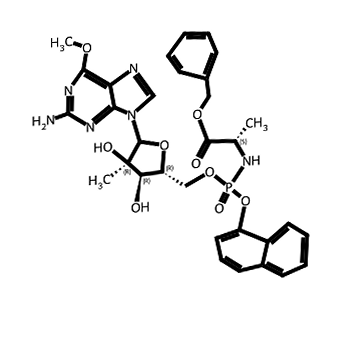 COc1nc(N)nc2c1ncn2C1O[C@H](COP(=O)(N[C@@H](C)C(=O)OCc2ccccc2)Oc2cccc3ccccc23)[C@@H](O)[C@@]1(C)O